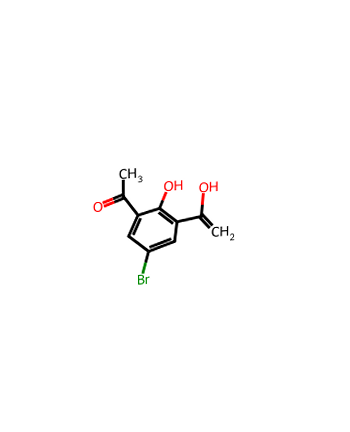 C=C(O)c1cc(Br)cc(C(C)=O)c1O